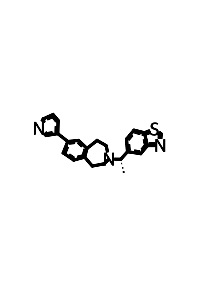 C[C@@H](c1ccc2scnc2c1)N1CCc2ccc(-c3cccnc3)cc2CC1